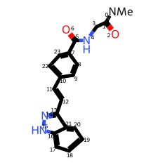 CNC(=O)CNC(=O)c1ccc(C=Cc2n[nH]c3ccccc23)cc1